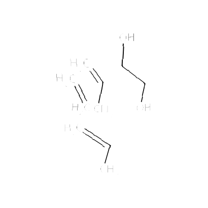 C=C.C=CC.C=CC.OCCO